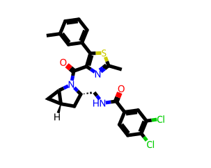 Cc1cccc(-c2sc(C)nc2C(=O)N2C3C[C@H]3C[C@H]2CNC(=O)c2ccc(Cl)c(Cl)c2)c1